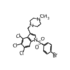 CN1CCN(Cc2cn(S(=O)(=O)c3ccc(Br)cc3)c3cc(Cl)c(Cl)c(Cl)c23)CC1